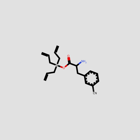 C=CC[Si](CC=C)(CC=C)OC(=O)C(N)Cc1cccc(C#N)c1